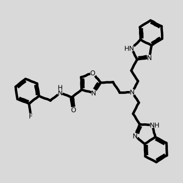 O=C(NCc1ccccc1F)c1coc(CCN(CCc2nc3ccccc3[nH]2)CCc2nc3ccccc3[nH]2)n1